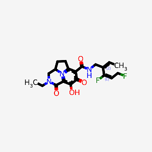 C/C=C(CNC(=O)c1c2n3c(c(O)c1=O)C(=O)N(CC)CC3CC2)\C(F)=C/CF